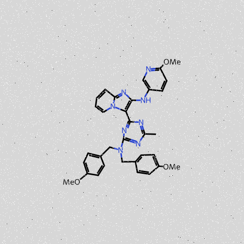 COc1ccc(CN(Cc2ccc(OC)cc2)c2nc(C)nc(-c3c(Nc4ccc(OC)nc4)nc4ccccn34)n2)cc1